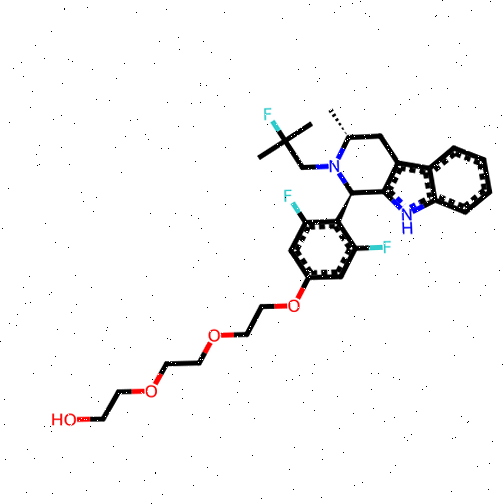 C[C@@H]1Cc2c([nH]c3ccccc23)[C@@H](c2c(F)cc(OCCOCCOCCO)cc2F)N1CC(C)(C)F